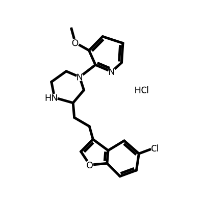 COc1cccnc1N1CCNC(CCc2coc3ccc(Cl)cc23)C1.Cl